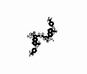 CC(CCC(=O)OC(=O)CCC(C)(c1ccc2c(C(F)(F)F)c(OC3CCC(C(F)(F)F)CC3)ccc2c1)[N+](=O)[O-])(c1ccc2c(C(F)(F)F)c(OC3CCC(C(F)(F)F)CC3)ccc2c1)[N+](=O)[O-]